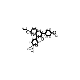 CCOc1ccc2cc(-c3ccc(OC)cc3)c(=O)n(-c3ccc(NC)nc3)c2n1